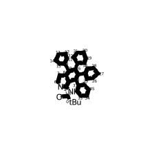 CC(C)(C)C(=O)Nc1nccc2c(-c3ccccc3)c(-c3ccccc3)c(-c3ccccc3)c(-c3ccccc3)c12